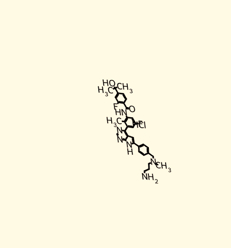 Cc1c(NC(=O)c2ccc(C(C)(C)O)cc2F)cc(F)cc1-c1ncnc2[nH]c(-c3ccc(CN(C)CCCN)cc3)cc12.Cl